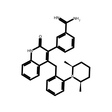 C[C@@H]1CCC[C@H](C)N1c1ccccc1Cc1c(-c2cccc(C(=N)N)c2)c(=O)[nH]c2ccccc12